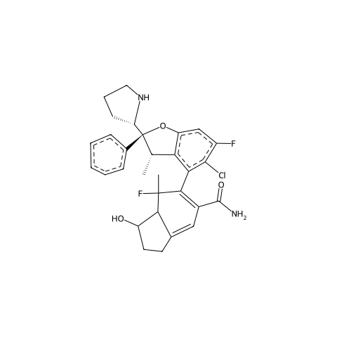 C[C@H]1c2c(cc(F)c(Cl)c2C2=C(C(N)=O)C=C3CCC(O)C3C2(C)F)O[C@@]1(c1ccccc1)[C@@H]1CCCN1